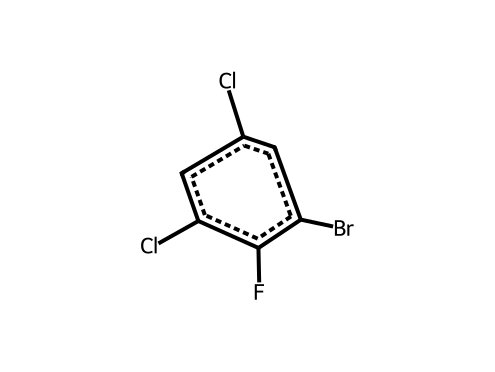 Fc1c(Cl)cc(Cl)cc1Br